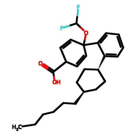 CCCCCC[C@H]1CC[C@H](c2ccccc2C2(OC(F)F)C=CC(C(=O)O)C=C2)CC1